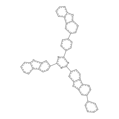 c1ccc(-c2ccc3c(c2)oc2cc(-c4nc(-c5ccc(-c6ccc7sc8ccccc8c7c6)cc5)nc(-c5ccc6c(c5)oc5ccccc56)n4)ccc23)cc1